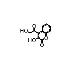 O=C(CO)c1c(O)c(=O)oc2ccccc12